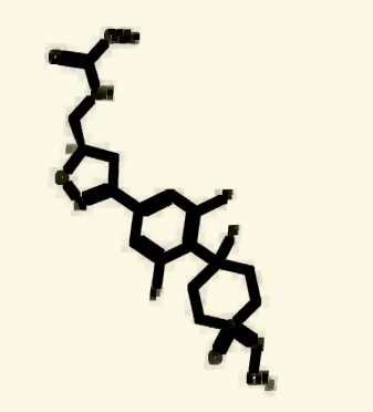 CN=S1(=O)CCC(F)(c2c(F)cc(C3=NO[C@@H](CNC(=O)OC)C3)cc2F)CC1